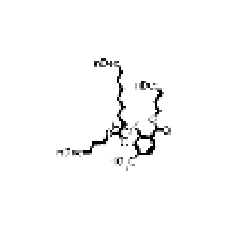 CCCCCCCCCCCCCCCCCC(=O)OCCCCCCCCCCCCC.CCCCCCCCCCCCCOC(=O)c1ccc(C(=O)O)cc1C(=O)O